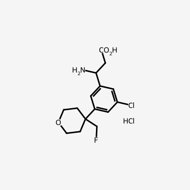 Cl.NC(CC(=O)O)c1cc(Cl)cc(C2(CF)CCOCC2)c1